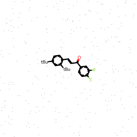 CC(C)(C)c1ccc(C=CC(=O)c2ccc(F)c(F)c2)c(C(C)(C)C)c1